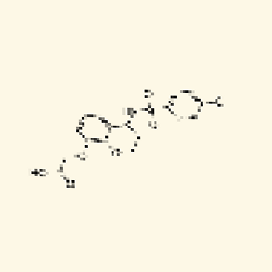 O=C(O)COc1cccc2c1OCCC2NS(=O)(=O)c1ccc(Cl)cc1